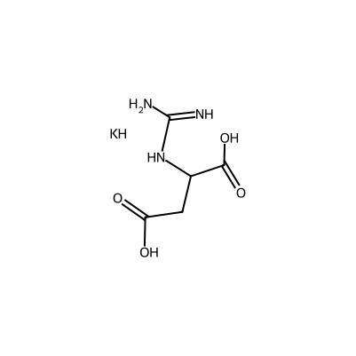 N=C(N)NC(CC(=O)O)C(=O)O.[KH]